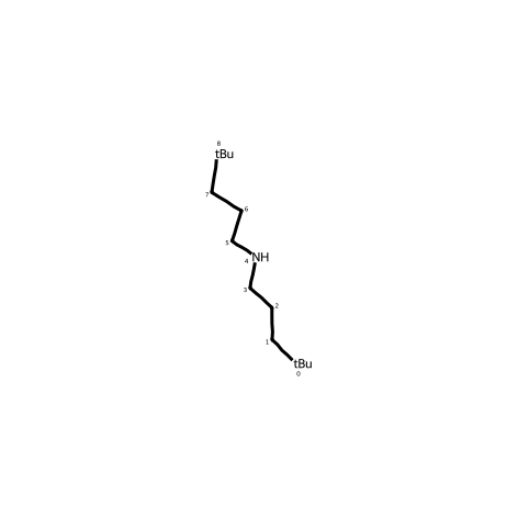 CC(C)(C)CCCNCCCC(C)(C)C